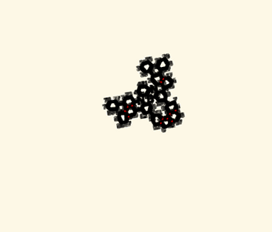 c1ccc(-c2cccc(-c3cc4c(c(-c5ccccc5)c3)N(c3ccc(-c5ccccc5)c(-c5ccccc5)c3)c3cccc5c3B4c3cc(-c4cccc(-c6ccccc6)c4)cc(-c4ccccc4)c3N5c3ccc(-c4ccccc4)c(-c4ccccc4)c3)c2)cc1